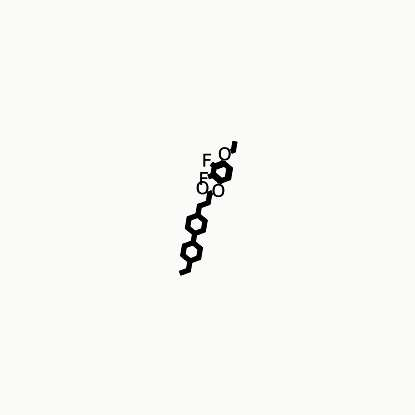 CCOc1ccc(OC(=O)CCC2CCC(C3CCC(CC)CC3)CC2)c(F)c1F